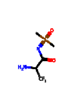 CS(C)(=O)=NC(=O)C(N)C(F)(F)F